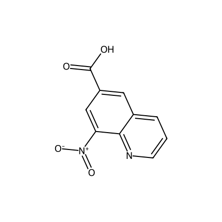 O=C(O)c1cc([N+](=O)[O-])c2ncccc2c1